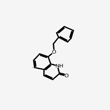 O=c1ccc2[c]ccc(OCc3ccccc3)c2[nH]1